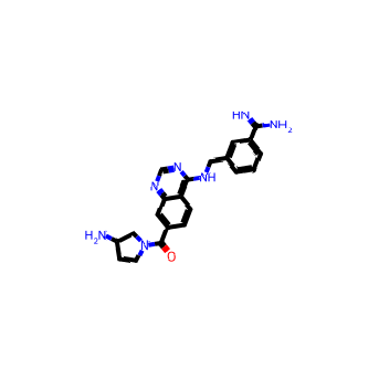 N=C(N)c1cccc(CNc2ncnc3cc(C(=O)N4CCC(N)C4)ccc23)c1